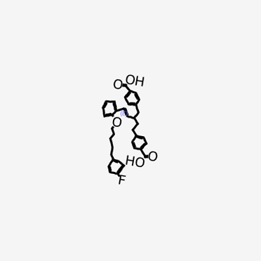 O=C(O)c1ccc(CCC(/C=C/c2ccccc2OCCCCCc2ccc(F)cc2)Cc2ccc(C(=O)O)cc2)cc1